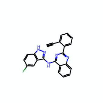 C#Cc1ccccc1-c1nc(Nc2n[nH]c3ccc(F)cc23)c2ccccc2n1